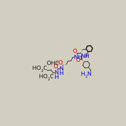 NC[C@H]1CC[C@H](C(=O)N[C@@H](Cc2ccccc2I)C(=O)NCCCC[C@H](NC(=O)N[C@@H](CCC(=O)O)C(=O)O)OC=O)CC1